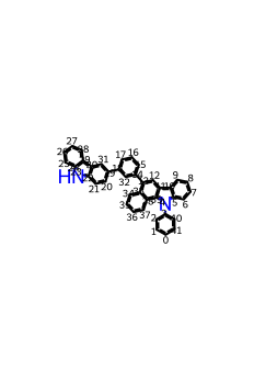 c1ccc(-n2c3ccccc3c3cc(-c4cccc(-c5ccc6[nH]c7ccccc7c6c5)c4)c4ccccc4c32)cc1